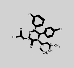 CC[C@@H](C[C@H](C)O)N1C(=O)[C@@H](CC(=O)O)O[C@H](c2cccc(Cl)c2)C1c1ccc(Cl)cc1